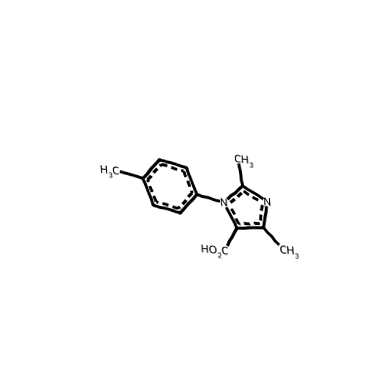 Cc1ccc(-n2c(C)nc(C)c2C(=O)O)cc1